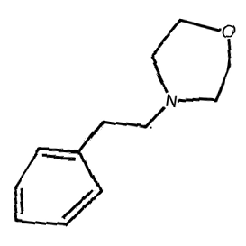 [CH](Cc1ccccc1)N1CCOCC1